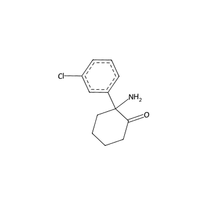 NC1(c2cccc(Cl)c2)CCCCC1=O